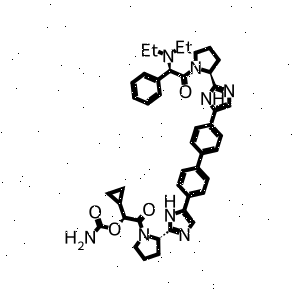 CCN(CC)[C@@H](C(=O)N1CCC[C@H]1c1ncc(-c2ccc(-c3ccc(-c4cnc([C@@H]5CCCN5C(=O)[C@@H](OC(N)=O)C5CC5)[nH]4)cc3)cc2)[nH]1)c1ccccc1